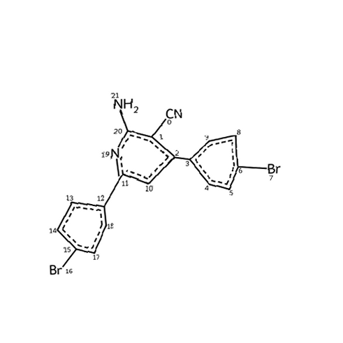 N#Cc1c(-c2ccc(Br)cc2)cc(-c2ccc(Br)cc2)nc1N